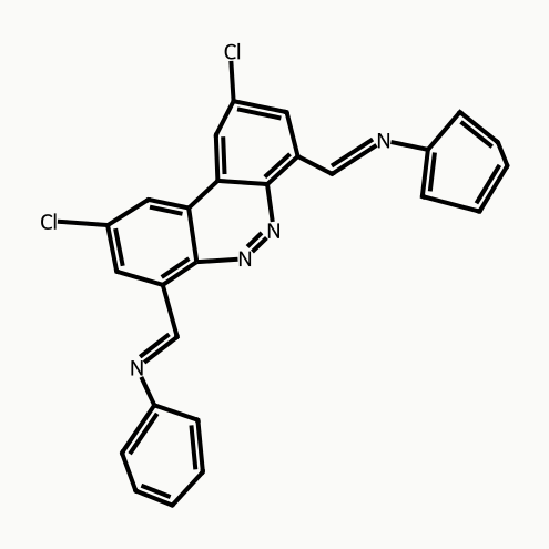 Clc1cc(/C=N/c2ccccc2)c2nnc3c(/C=N/c4ccccc4)cc(Cl)cc3c2c1